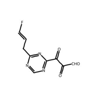 O=CC(=O)C(=O)c1ncnc(CC=CF)n1